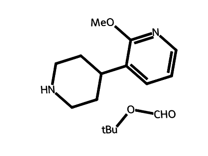 CC(C)(C)OC=O.COc1ncccc1C1CCNCC1